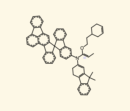 C/C=C(\OCCC1CC=CCC1)N(C1=CC2=C(CC1)c1ccccc1C2(C)C)c1ccc2c(c1)-c1ccccc1C21c2ccccc2-c2c1cc1c3c(cccc23)-c2ccccc2-1